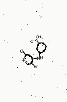 C[S+]([O-])c1cccc(Nc2cc(Cl)ncc2Br)c1